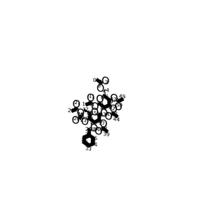 CC(=O)OC[C@H]1O[C@H](OC(C)=O)[C@H](O[C@@H]2O[C@H](COC(C)=O)[C@@H](OC(C)=O)[C@H](OCc3ccccc3)[C@@H]2OC(C)=O)[C@H](OC(C)=O)[C@H]1OC(C)=O